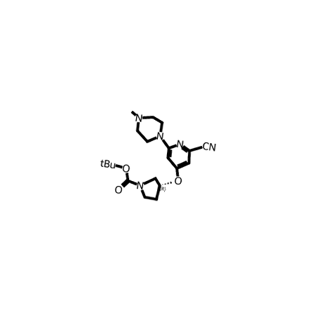 CN1CCN(c2cc(O[C@@H]3CCN(C(=O)OC(C)(C)C)C3)cc(C#N)n2)CC1